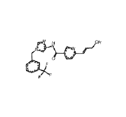 O=C(Nc1cn(Cc2cccc(C(F)(F)F)c2)cn1)c1ccc(/C=C/CO)nc1